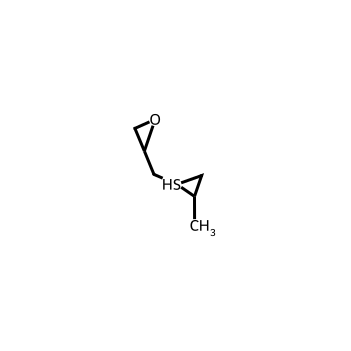 CC1C[SH]1CC1CO1